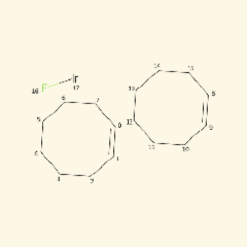 C1=C\CCCCCC/1.C1=C\CCCCCC/1.[F][Ir]